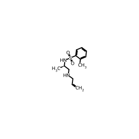 C=CCNC[C@@H](C)NS(=O)(=O)c1ccccc1C